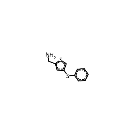 NCc1cc(Sc2ccccc2)cs1